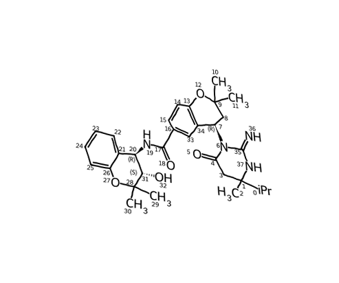 CC(C)C1(C)CC(=O)N([C@@H]2CC(C)(C)Oc3ccc(C(=O)N[C@@H]4c5ccccc5OC(C)(C)[C@H]4O)cc32)C(=N)N1